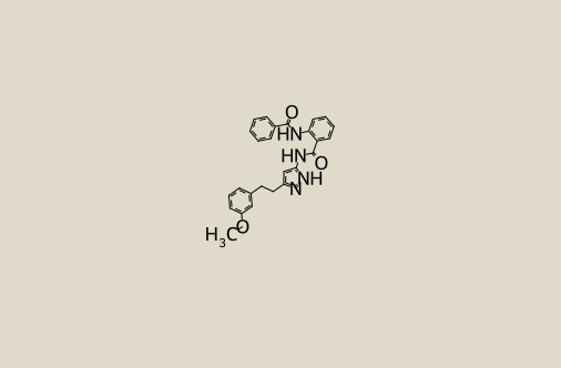 COc1cccc(CCc2cc(NC(=O)c3ccccc3NC(=O)c3ccccc3)[nH]n2)c1